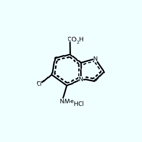 CNc1c(Cl)cc(C(=O)O)c2nccn12.Cl